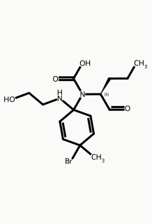 CCC[C@@H](C=O)N(C(=O)O)C1(NCCO)C=CC(C)(Br)C=C1